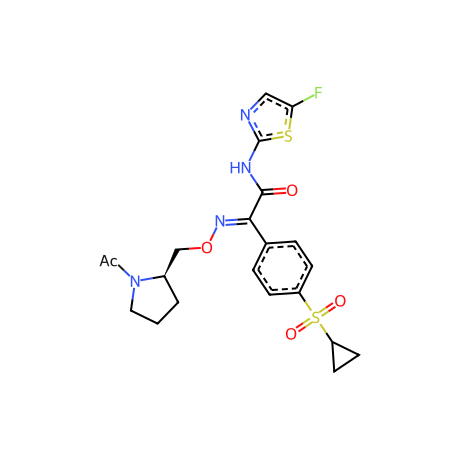 CC(=O)N1CCC[C@@H]1CO/N=C(/C(=O)Nc1ncc(F)s1)c1ccc(S(=O)(=O)C2CC2)cc1